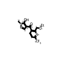 CCOCc1nc(C(F)(F)F)ccc1C(=O)c1cnn(C)c1O